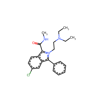 CCN(CC)CCn1c(C(=O)NC)c2ccc(Cl)cc2c1-c1ccccc1